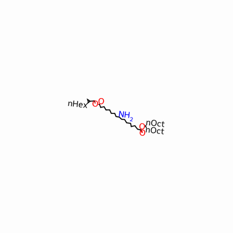 CCCCCCCCC(CCCCCCCC)OC(=O)CCCCCCCC(N)CCCCCCCC(=O)OCC1CC1CCCCCC